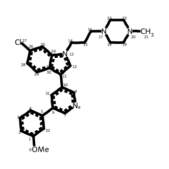 COc1cccc(-c2cncc(-c3cn(CCCN4CCN(C)CC4)c4cc(Cl)ccc34)c2)c1